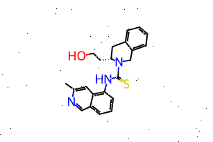 Cc1cc2c(NC(=S)N3Cc4ccccc4C[C@H]3CCO)cccc2cn1